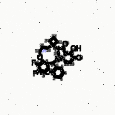 Cc1ccccc1[C@H]1c2ccc(F)c(F)c2OC/C=C/C2(CCC2)N2CN1n1ccc(=O)c(O)c1C2=O